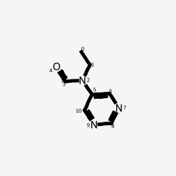 CCN([C]=O)c1cncnc1